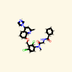 Cc1cc(-n2ccnc2)c2cccc(OCc3c(Cl)ccc(N(C)C(=O)CNC(=O)c4ccccc4)c3Cl)c2n1